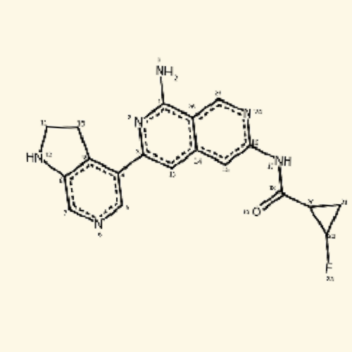 Nc1nc(-c2cncc3c2CCN3)cc2cc(NC(=O)C3CC3F)ncc12